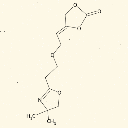 CC1(C)COC(CCOCC=C2COC(=O)O2)=N1